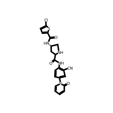 N#Cc1cc(-n2ccccc2=O)ccc1NC(=O)C1C[C@H](NC(=O)c2ccc(Cl)s2)CN1